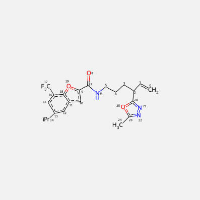 C=CC(CCCNC(=O)c1cc2cc(C(C)C)cc(C(F)(F)F)c2o1)c1nnc(C)o1